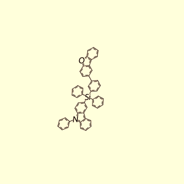 c1ccc(-n2c3ccccc3c3cc([Si](c4ccccc4)(c4ccccc4)c4cccc(-c5ccc6oc7ccccc7c6c5)c4)ccc32)cc1